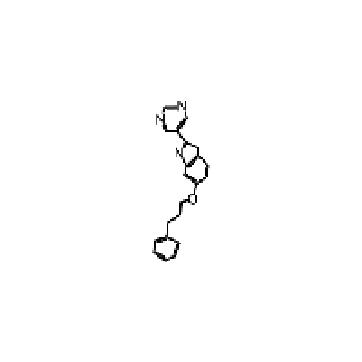 c1ccc(CCCOc2ccc3c(c2)N=C(c2cncnc2)C3)cc1